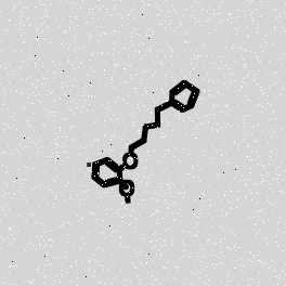 COc1cc[c]cc1OCCCCCc1ccccc1